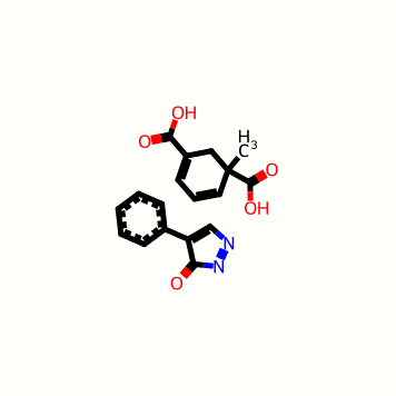 CC1(C(=O)O)C=CC=C(C(=O)O)C1.O=C1N=NC=C1c1ccccc1